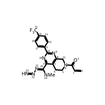 C=CC(=O)N1CCc2c(nc(-c3ccc(C(F)(F)F)cc3)nc2/C(=N/N=N)NC)C1